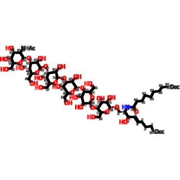 CCCCCCCCCCCCC/C=C/[C@@H](O)[C@H](CO[C@@H]1OC(CO)[C@@H](O[C@@H]2OC(CO)[C@H](O[C@@H]3OC(CO)[C@H](O)[C@H](O[C@H]4OC(CO)[C@H](O)[C@H](O[C@H]5OC(CO)[C@H](O)[C@H](O[C@@H]6OC(CO)[C@H](O)[C@H](O)C6NC(C)=O)C5O)C4O)C3O)[C@H](O)C2O)[C@H](O)C1O)NC(=O)CCCCCCCCCCCCCCCCC